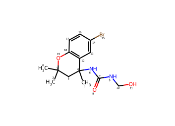 CC1(C)CC(C)(NC(=O)NCO)c2cc(Br)ccc2O1